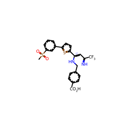 CS(=O)(=O)c1cccc(-c2ccc(/C(=C/C(=N)C(F)(F)F)NCc3ccc(C(=O)O)cc3)s2)c1